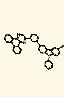 CC(C)c1ccc2c(c1)c1cc(-c3cccc(-c4cnc5c6ccccc6c6ccccc6c5n4)c3)ccc1n2-c1ccccc1